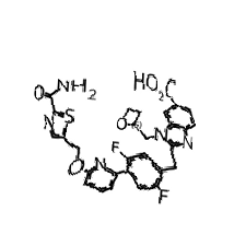 NC(=O)c1ncc(COc2cccc(-c3cc(F)c(Cc4nc5ccc(C(=O)O)cc5n4C[C@@H]4CCO4)cc3F)n2)s1